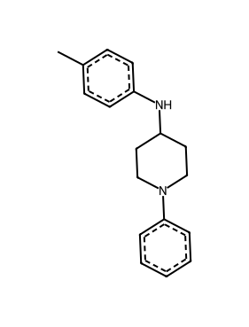 Cc1ccc(NC2CCN(c3ccccc3)CC2)cc1